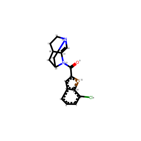 O=C(c1cc2cccc(Cl)c2s1)N1C2=CN3CCC2CC1C3